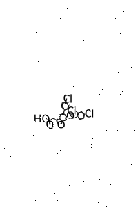 O=C(O)Cc1coc2cc(OCc3ccc(Cl)cc3Cl)c(-c3ccc(Cl)cc3)cc12